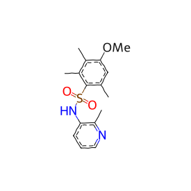 COc1cc(C)c(S(=O)(=O)Nc2cccnc2C)c(C)c1C